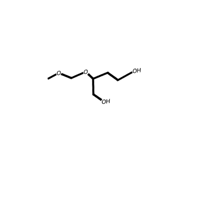 COCOC(CO)CCO